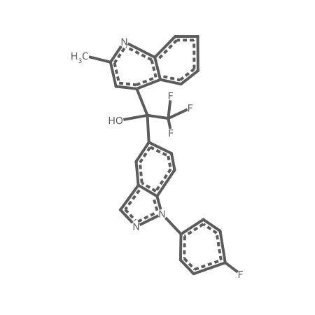 Cc1cc(C(O)(c2ccc3c(cnn3-c3ccc(F)cc3)c2)C(F)(F)F)c2ccccc2n1